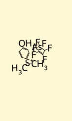 C[S+](C)c1ccc(O)cc1.FC1=C(F)[As](F)(F)(F)C1F